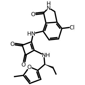 CC[C@H](Nc1c(Nc2ccc(Cl)c3c2C(=O)NC3)c(=O)c1=O)c1ccc(C)o1